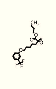 CCCCOC(=O)C1(CCCCCOc2cccc(C(F)(F)F)c2)CO1